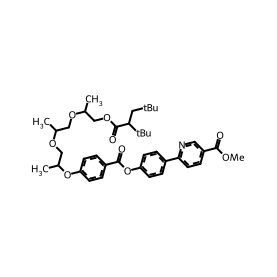 COC(=O)c1ccc(-c2ccc(OC(=O)c3ccc(OC(C)COC(C)COC(C)COC(=O)C(CC(C)(C)C)C(C)(C)C)cc3)cc2)nc1